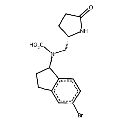 O=C1CC[C@@H](CN(C(=O)O)C2CCc3cc(Br)ccc32)N1